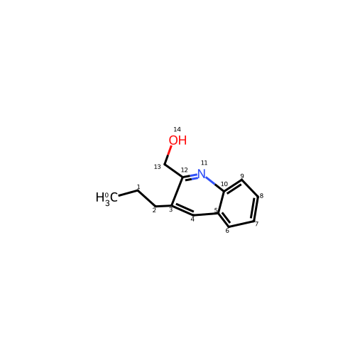 CCCc1cc2ccccc2nc1CO